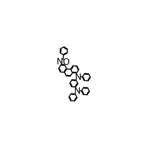 c1ccc(-c2nc3ccc4ccc5c(N(c6ccccc6)c6cccc(N(c7ccccc7)c7ccccc7)c6)cccc5c4c3o2)cc1